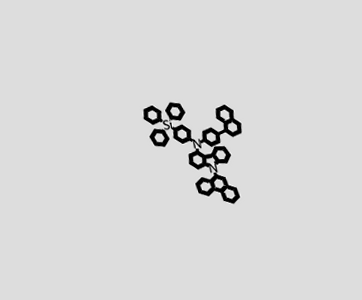 c1ccc([Si](c2ccccc2)(c2ccccc2)c2ccc(N(c3ccc(-c4cccc5ccccc45)cc3)c3cccc4c3c3ccccc3n4-c3cc4ccccc4c4ccccc34)cc2)cc1